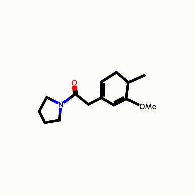 COC1=CC(CC(=O)N2CCCC2)=CCC1C